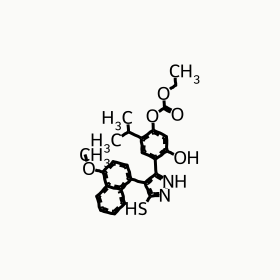 CCOC(=O)Oc1cc(O)c(-c2[nH]nc(S)c2-c2ccc(OC)c3ccccc23)cc1C(C)C